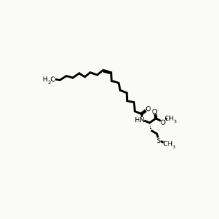 CCCCCCCC/C=C\CCCCCCCC(=O)N[C@@H](CCSC)C(=O)OC